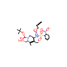 C=CCON(C1CN(C(=O)OC(C)(C)C)C(CO)C(C)=C1C)S(=O)(=O)c1ccccc1[N+](=O)[O-]